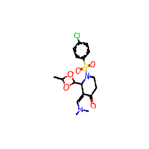 CC1OC(C2/C(=C/N(C)C)C(=O)CCN2S(=O)(=O)c2ccc(Cl)cc2)O1